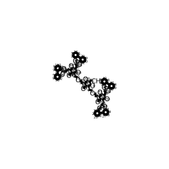 CCn1c(=O)n(CCOCCn2c(=O)n(CCP3(=O)Oc4ccccc4-c4ccccc43)c(=O)n(CCP3(=O)Oc4ccccc4-c4ccccc43)c2=O)c(=O)n(CCOCCn2c(=O)n(CCP3(=O)Oc4ccccc4-c4ccccc43)c(=O)n(CCP3(=O)Oc4ccccc4-c4ccccc43)c2=O)c1=O